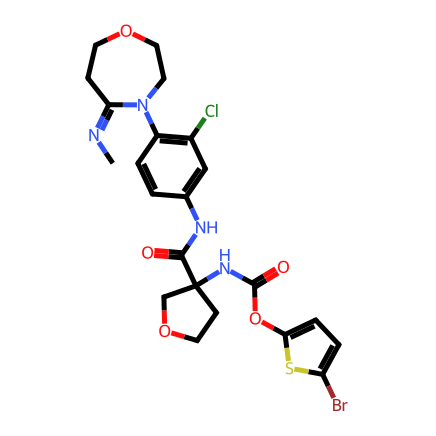 CN=C1CCOCCN1c1ccc(NC(=O)C2(NC(=O)Oc3ccc(Br)s3)CCOC2)cc1Cl